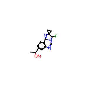 CC(O)c1ccc2c(c1)N=CN1C2=NC2(CC2)C1F